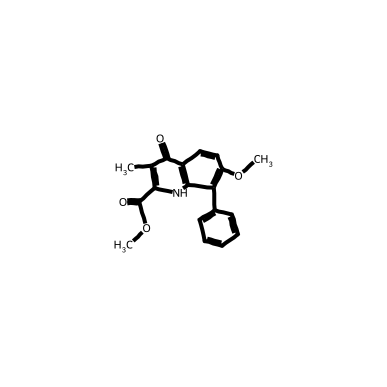 COC(=O)c1[nH]c2c(-c3ccccc3)c(OC)ccc2c(=O)c1C